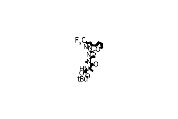 CC(NC(=O)OC(C)(C)C)C(=O)N(C)c1csc(-n2nc(C(F)(F)F)cc2-c2ccco2)n1